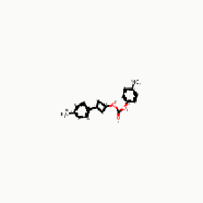 O=C(Oc1ccc([N+](=O)[O-])cc1)OC1CC(c2ccc(C(F)(F)F)cc2)C1